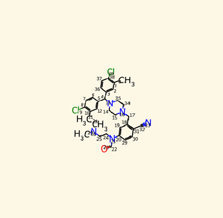 Cc1cc(C(c2ccc(Cl)c(C)c2)N2CCN(Cc3cc(N(C=O)CCN(C)C)ccc3C#N)CC2)ccc1Cl